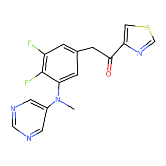 CN(c1cncnc1)c1cc(CC(=O)c2cscn2)cc(F)c1F